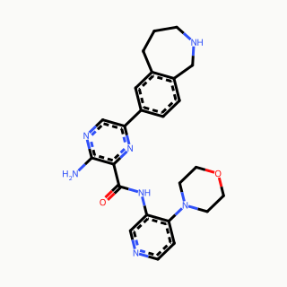 Nc1ncc(-c2ccc3c(c2)CCCNC3)nc1C(=O)Nc1cnccc1N1CCOCC1